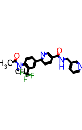 CC(=O)N(C)c1ccc(-c2ccc(C(=O)NCc3cccnc3)cn2)cc1C(F)(F)F